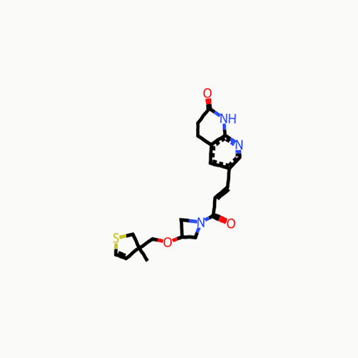 CC1(COC2CN(C(=O)C=Cc3cnc4c(c3)CCC(=O)N4)C2)C=CSC1